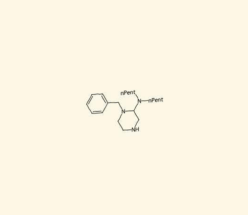 CCCCCN(CCCCC)C1CNCCN1Cc1ccccc1